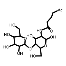 CC(=O)CCCC(=O)NC1C(O)OC(CO)C(OC2OC(CO)C(O)C(O)C2O)C1O